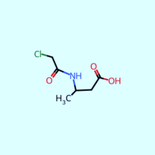 CC(CC(=O)O)NC(=O)CCl